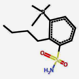 CCCCc1c([Si](C)(C)C)cccc1S(N)(=O)=O